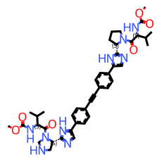 COC(=O)N[C@H](C(=O)N1CCC[C@H]1c1ncc(-c2ccc(C#Cc3ccc(-c4cnc([C@@H]5CNCN5C(=O)[C@@H](NC(=O)OC)C(C)C)[nH]4)cc3)cc2)[nH]1)C(C)C